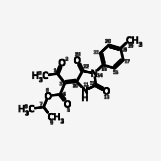 CC(=O)C(C(=O)OC(C)C)=C1NC(=O)N(c2ccc(C)cc2)C1=O